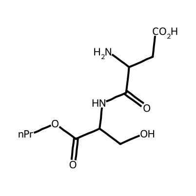 CCCOC(=O)C(CO)NC(=O)C(N)CC(=O)O